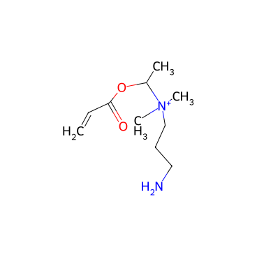 C=CC(=O)OC(C)[N+](C)(C)CCCN